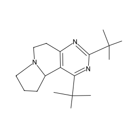 CC(C)(C)c1nc2c(c(C(C)(C)C)n1)C1CCCN1CC2